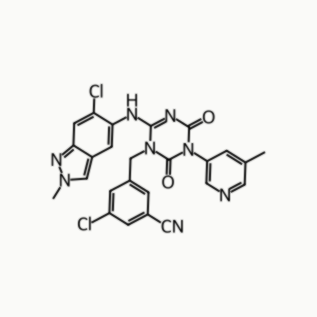 Cc1cncc(-n2c(=O)nc(Nc3cc4cn(C)nc4cc3Cl)n(Cc3cc(Cl)cc(C#N)c3)c2=O)c1